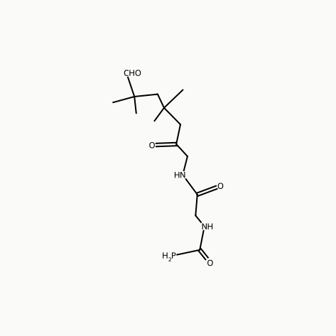 CC(C)(C=O)CC(C)(C)CC(=O)CNC(=O)CNC(=O)P